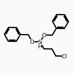 ClCCC[SiH](OCc1ccccc1)OCc1ccccc1